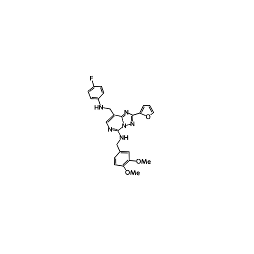 COc1ccc(CNc2ncc(CNc3ccc(F)cc3)c3nc(-c4ccco4)nn23)cc1OC